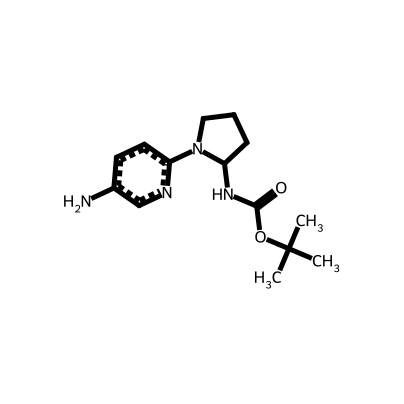 CC(C)(C)OC(=O)NC1CCCN1c1ccc(N)cn1